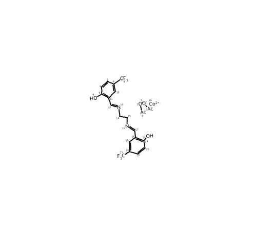 CC(=O)[O-].CC(=O)[O-].Oc1ccc(C(F)(F)F)cc1C=NCCN=Cc1cc(C(F)(F)F)ccc1O.[Co+2]